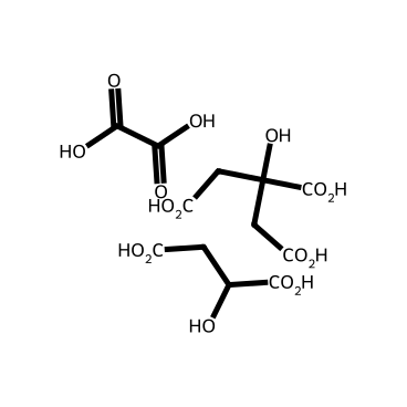 O=C(O)C(=O)O.O=C(O)CC(O)(CC(=O)O)C(=O)O.O=C(O)CC(O)C(=O)O